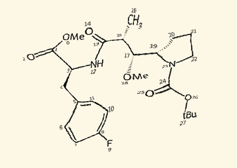 COC(=O)[C@H](Cc1ccc(F)cc1)NC(=O)[C@H](C)[C@@H](OC)[C@@H]1CCCN1C(=O)OC(C)(C)C